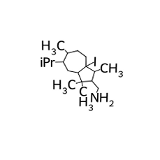 CC(C)C1CC2C(C)(C)C(CN)C(C)C2(I)CCC1C